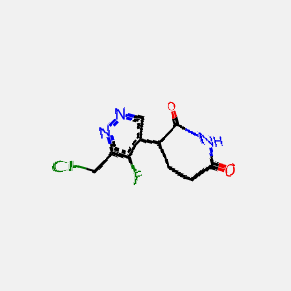 O=C1CCC(c2cnnc(CCl)c2F)C(=O)N1